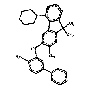 Cc1ccc(-c2ccccc2)cc1Nc1cc2c(cc1C)C(C)(C)c1cccc(C3CCCCC3)c1-2